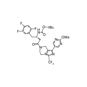 COc1ncc(-c2nc(C(F)(F)F)n3c2CN(C(=O)C[C@@H](Cc2cc(F)c(F)cc2F)NC(=O)OC(C)(C)C)CC3)cn1